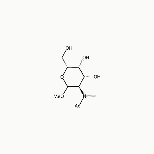 COC1O[C@H](CO)[C@H](O)[C@H](O)[C@H]1N(C)C(C)=O